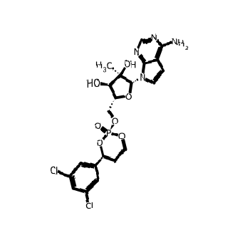 C[C@@]1(O)[C@H](O)[C@@H](CO[P@@]2(=O)OCC[C@@H](c3cc(Cl)cc(Cl)c3)O2)O[C@H]1n1ccc2c(N)ncnc21